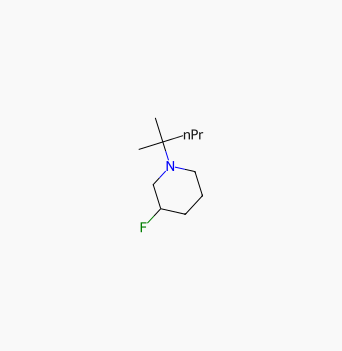 CCCC(C)(C)N1CCCC(F)C1